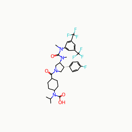 CC(C)N(C(=O)O)C1CCC(C(=O)N2C[C@@H](N(C)C(=O)N(C)c3cc(C(F)(F)F)cc(C(F)(F)F)c3)[C@H](c3ccc(F)cc3)C2)CC1